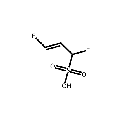 O=S(=O)(O)C(F)C=CF